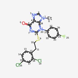 CCn1cnc2c(=O)nc(SCCc3ccc(Cl)cc3Cl)n(-c3ccc(F)cc3)c21